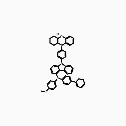 COc1ccc(N(c2ccc(C3=CC=CCC3)cc2)c2cccc3c2c2ccccc2n3-c2ccc(N3c4ccccc4S[C@@H]4CCCCC43)cc2)cc1